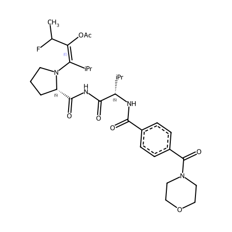 CC(=O)O/C(=C(\C(C)C)N1CCC[C@H]1C(=O)NC(=O)[C@@H](NC(=O)c1ccc(C(=O)N2CCOCC2)cc1)C(C)C)C(C)F